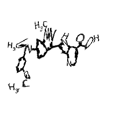 COc1cccc(N(C)c2ccc3c(-c4cc5nccc(C(=O)O)c5[nH]4)nn(C)c3c2)c1